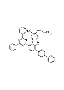 C=C/C=C\c1cc2oc3c(-c4ccc(-c5ccccc5)cc4)ccc(-c4nc(-c5ccccc5)nc(-c5ccccc5)n4)c3c2cc1C